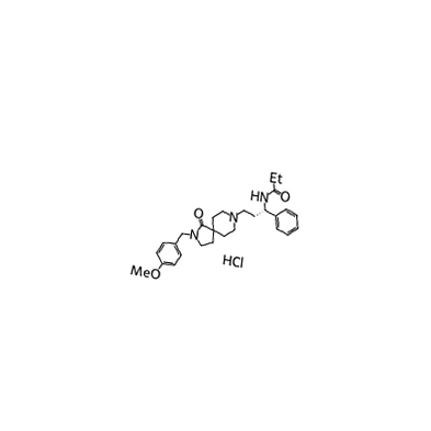 CCC(=O)N[C@@H](CCN1CCC2(CC1)CCN(Cc1ccc(OC)cc1)C2=O)c1ccccc1.Cl